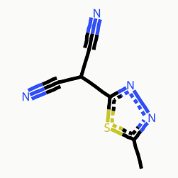 Cc1nnc(C(C#N)C#N)s1